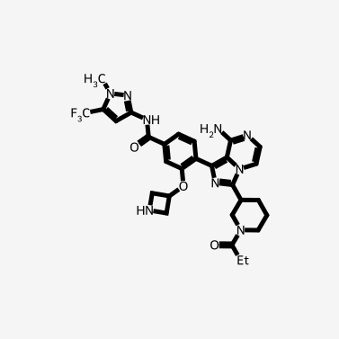 CCC(=O)N1CCCC(c2nc(-c3ccc(C(=O)Nc4cc(C(F)(F)F)n(C)n4)cc3OC3CNC3)c3c(N)nccn23)C1